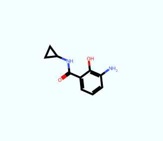 Nc1cccc(C(=O)NC2CC2)c1O